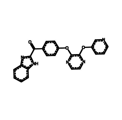 O=C(c1ccc(Oc2nccnc2Oc2cccnc2)cc1)c1nc2ccccc2[nH]1